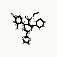 CCOC(=O)C1=C(C2CCCCC2)NC(c2nccs2)=NC1c1ccc(F)cc1C